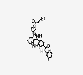 CCC=CC(=O)N1CC[C@@H](N2NC(c3ccc(C(=O)Nc4cc(C)ccn4)cc3)=C3C2=CN=CN3N)C1